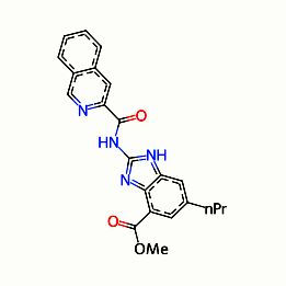 CCCc1cc(C(=O)OC)c2nc(NC(=O)c3cc4ccccc4cn3)[nH]c2c1